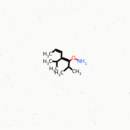 C/C=C\C(=C(/ON)C(C)C)C(C)C